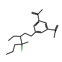 C=C(C)c1cc(CCC(CC)C(C)(F)CCC)cc(C(=C)C)c1